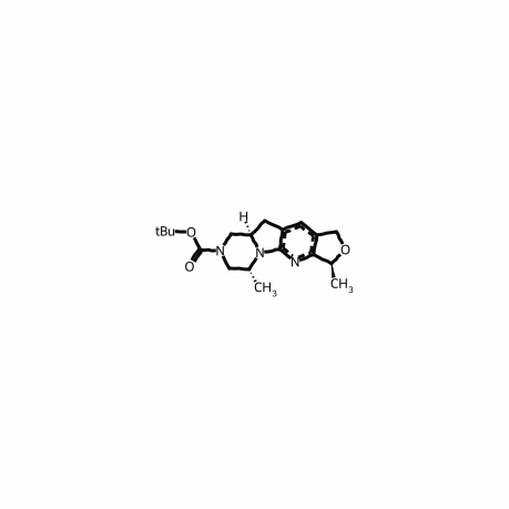 C[C@@H]1OCc2cc3c(nc21)N1[C@H](C3)CN(C(=O)OC(C)(C)C)C[C@H]1C